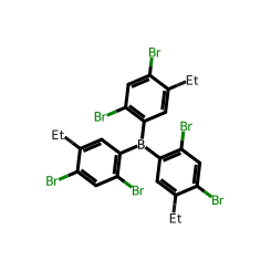 CCc1cc(B(c2cc(CC)c(Br)cc2Br)c2cc(CC)c(Br)cc2Br)c(Br)cc1Br